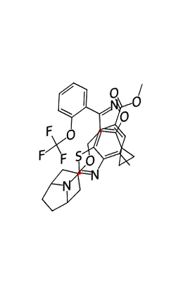 COC(=O)c1cc(C)c2nc(N3C4CCC3CC(OCc3c(-c5ccccc5OC(F)(F)F)noc3C3CC3)C4)sc2c1